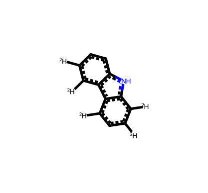 [2H]c1cc([2H])c2c([nH]c3ccc([2H])c([2H])c32)c1[2H]